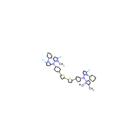 Cc1ccc(N(c2ccc(-c3ccc(-c4ccc(-c5ccc(N(c6ccc(F)n6C)c6ccc(F)n6-c6ccccc6)cc5)s4)s3)cc2)c2ccc(F)n2-c2ccccc2)n1C